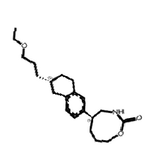 CCOCCC[C@@H]1CCc2cc([C@@H]3CCCOC(=O)NC3)ccc2C1